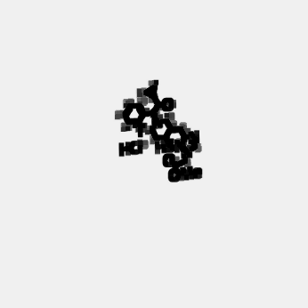 COC(=O)Cn1cnc(C=C2CN(C(C(=O)C3CC3)c3ccccc3F)CCC2S)n1.Cl